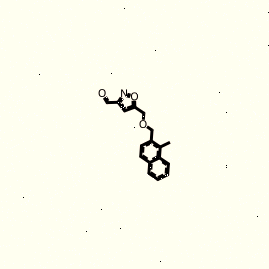 Cc1c(COCc2cc(C=O)no2)ccc2ccccc12